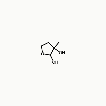 CC1(O)CCOC1O